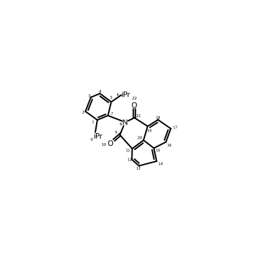 CC(C)c1cccc(C(C)C)c1N1C(=O)c2cccc3cccc(c23)C1=O